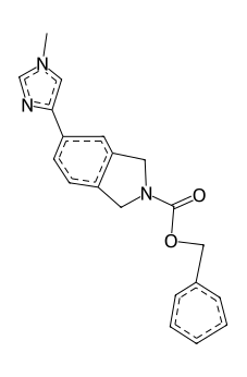 Cn1cnc(-c2ccc3c(c2)CN(C(=O)OCc2ccccc2)C3)c1